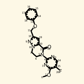 COc1nc(N2CCn3nc(COc4ccccc4)cc3C2=O)ncc1F